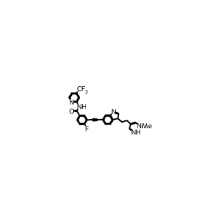 CN/C=C(\C=N)CCC1C=Nc2cc(C#Cc3cc(C(=O)Nc4cc(C(F)(F)F)ccn4)ccc3F)ccc21